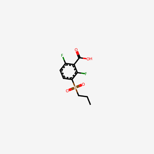 CCCS(=O)(=O)c1ccc(F)c(C(=O)O)c1F